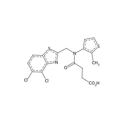 Cc1sccc1N(Cc1nc2c(Cl)c(Cl)ccc2s1)C(=O)CCC(=O)O